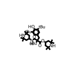 CCCCC(Cc1cc(C(C)(C)C)c(O)c(C(C)(C)C)c1)(C(=O)NC1CC(C)(C)NC(C)(C)C1)C(=O)OC1CC(C)(C)NC(C)(C)C1